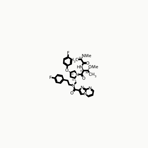 CN[C@@H](C)C(=O)N[C@H](C(=O)N1C[C@@H](Oc2ccc(F)cc2)C[C@H]1CN(CCc1ccc(F)cc1)C(=O)c1cn2cccnc2n1)[C@@H](C)OC